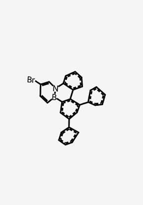 BrC1=CN2B(C=C1)c1cc(-c3ccccc3)cc(-c3ccccc3)c1-c1ccccc12